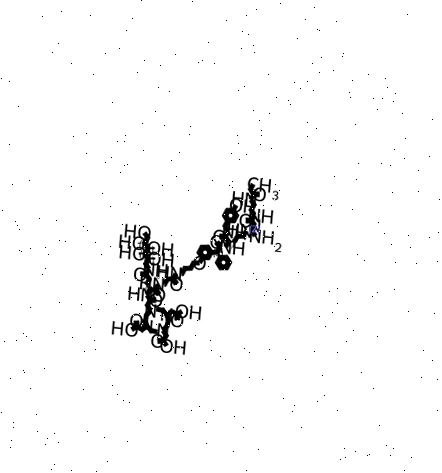 CCC(=O)NCCNC(=O)/N=C(/N)NCCC[C@@H](NC(=O)[C@@H](c1ccccc1)c1cccc(OCCCCNC(=O)CCNC(=O)[C@H](CCC(=O)NC[C@H](O)[C@@H](O)[C@H](O)[C@H](O)CO)NC(=O)CN2CCN(CC(=O)O)CCN(CC(=O)O)CCN(CC(=O)O)CC2)c1)C(=O)NCc1ccc(O)cc1